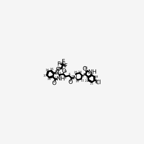 O=C1NC(CCCC(=O)N2CCC([C@H]3C(=O)Nc4cc(Cl)ccc43)CC2)N(OC(=O)C(F)(F)F)c2ccccc21